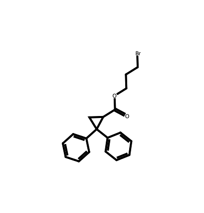 O=C(OCCCBr)C1CC1(c1ccccc1)c1ccccc1